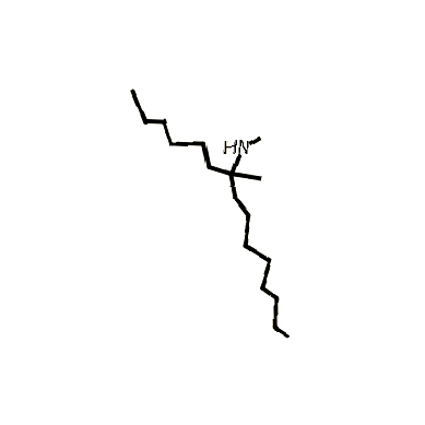 CCCCCCCCC(C)(CCCCCC)NC